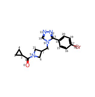 O=C(C1CC1)N1CC(Cn2cnnc2-c2ccc(Br)cc2)C1